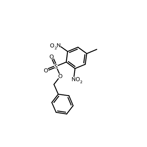 Cc1cc([N+](=O)[O-])c(S(=O)(=O)OCc2ccccc2)c([N+](=O)[O-])c1